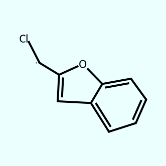 Cl[CH]c1cc2ccccc2o1